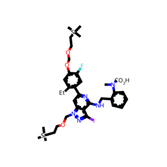 CCc1cc(OCOCC[Si](C)(C)C)c(F)cc1-c1cc2c(c(I)nn2COCC[Si](C)(C)C)c(NCc2ccccc2N(C)C(=O)O)n1